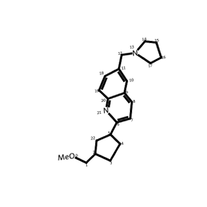 COCC1CCC(c2ccc3cc(CN4CCCC4)ccc3n2)C1